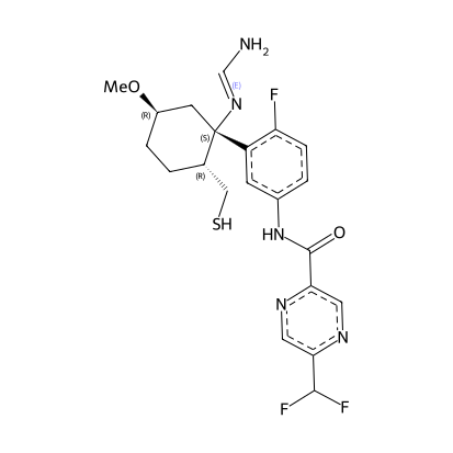 CO[C@@H]1CC[C@@H](CS)[C@](/N=C/N)(c2cc(NC(=O)c3cnc(C(F)F)cn3)ccc2F)C1